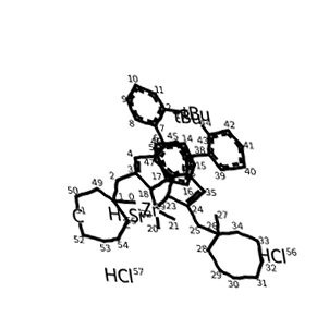 CC1(CC2=Cc3c(-c4ccccc4C(C)(C)C)cccc3[CH]2[Zr]([CH3])([CH3])(=[SiH2])[CH]2C(CC3(C)CCCCCCC3)=Cc3c(-c4ccccc4C(C)(C)C)cccc32)CCCCCCC1.Cl.Cl